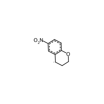 O=[N+]([O-])c1ccc2c(c1)[CH]CCO2